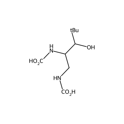 CC(C)(C)C(O)C(CNC(=O)O)NC(=O)O